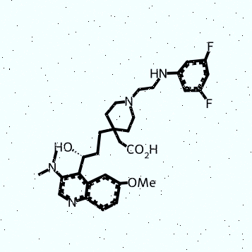 COc1ccc2ncc(N(C)C)c([C@H](O)CCC3(CC(=O)O)CCN(CCNc4cc(F)cc(F)c4)CC3)c2c1